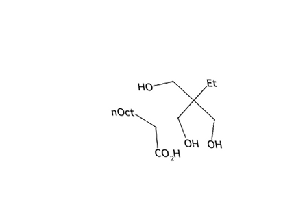 CCC(CO)(CO)CO.CCCCCCCCCC(=O)O